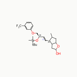 CC1CC2OC(O)CC2[C@H]1/C=C/[C@H](COc1cccc(C(F)(F)F)c1)O[Si](C)(C)C(C)(C)C